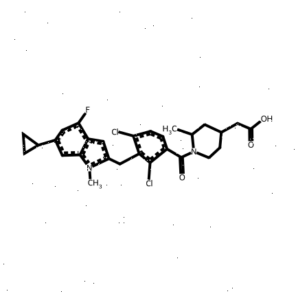 CC1CC(CC(=O)O)CCN1C(=O)c1ccc(Cl)c(Cc2cc3c(F)cc(C4CC4)cc3n2C)c1Cl